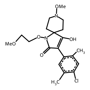 COCCON1C(=O)C(c2cc(C)c(Cl)cc2C)=C(O)C12CCN(OC)CC2